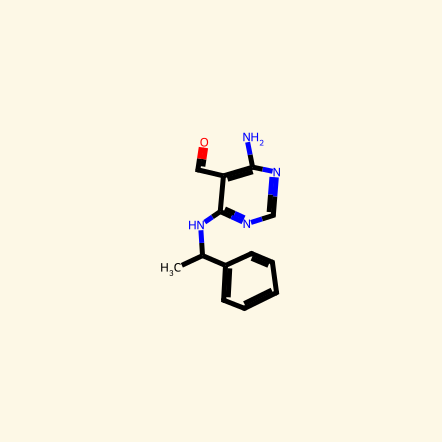 CC(Nc1ncnc(N)c1C=O)c1ccccc1